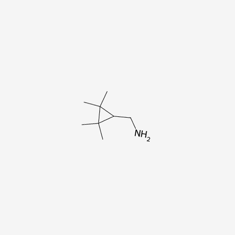 CC1(C)C(CN)C1(C)C